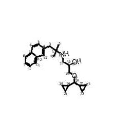 CC(C)(Cc1ccc2ccccc2c1)NC[C@@H](O)COC(C1CC1)C1CC1